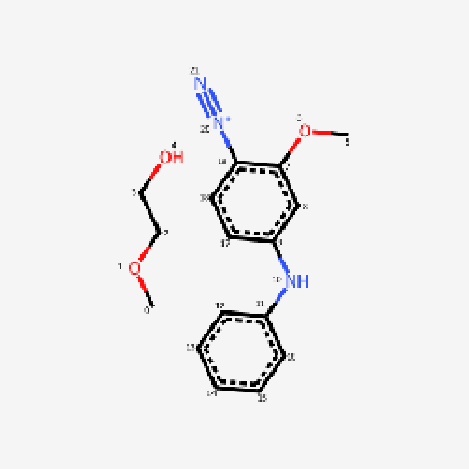 COCCO.COc1cc(Nc2ccccc2)ccc1[N+]#N